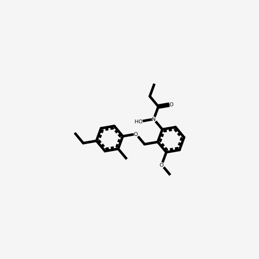 CCC(=O)N(O)c1cccc(OC)c1COc1ccc(CC)cc1C